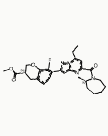 CCc1cc(C(=O)N2CCCCC[C@H]2C)nc2cc(-c3ccc4c(c3F)OC[C@H](C(=O)OC)C4)nn12